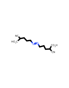 N#CC(CCCN=NCCCC(C#N)C(=O)O)C(=O)O